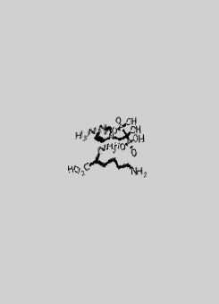 N.NCCCCC(N)C(=O)O.O=P(O)(O)C(O)(Cn1ccnc1)P(=O)(O)O